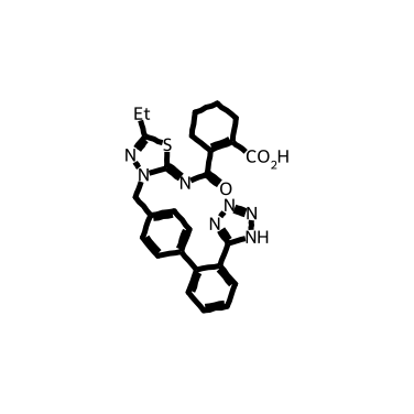 CCc1nn(Cc2ccc(-c3ccccc3-c3nnn[nH]3)cc2)c(=NC(=O)C2=C(C(=O)O)CCCC2)s1